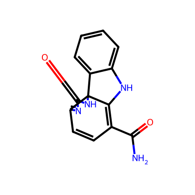 NC(=O)C1=C2Nc3ccccc3C23NC(=O)N=C3C=C1